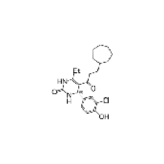 CCC1=C(C(=O)CCC2CCCCCC2)[C@H](c2ccc(O)c(Cl)c2)NC(=O)N1